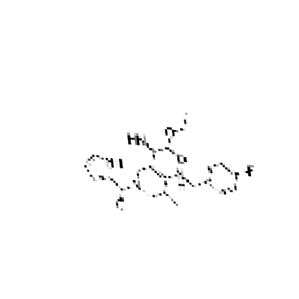 CCOC(=O)C(=N)C1=C(NCc2ccc(F)cc2)C(C)CN(C(=O)c2ccc[nH]2)C1